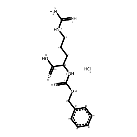 Cl.N=C(N)NCCCC(NC(=O)OCc1ccccc1)C(=O)O